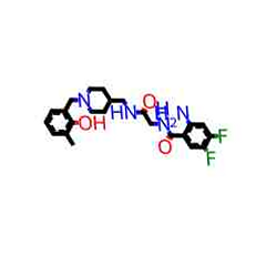 Cc1cccc(CN2CCC(CNC(=O)CNC(=O)c3cc(F)c(F)cc3N)CC2)c1O